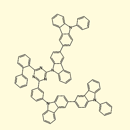 c1ccc(-c2ccccc2-c2nc(-c3cccc(-n4c5ccccc5c5cc(-c6ccc7c(c6)c6ccccc6n7-c6ccccc6)ccc54)c3)nc(-n3c4ccccc4c4cc(-c5ccc6c(c5)c5ccccc5n6-c5ccccc5)ccc43)n2)cc1